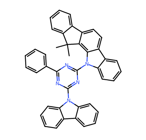 CC1(C)c2ccccc2-c2ccc3c4ccccc4n(-c4nc(-c5ccccc5)nc(-n5c6ccccc6c6ccccc65)n4)c3c21